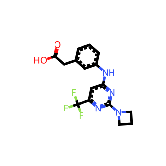 O=C(O)Cc1cccc(Nc2cc(C(F)(F)F)nc(N3CCC3)n2)c1